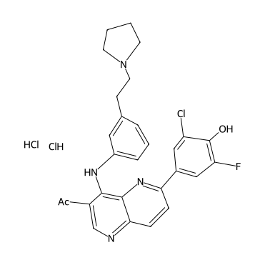 CC(=O)c1cnc2ccc(-c3cc(F)c(O)c(Cl)c3)nc2c1Nc1cccc(CCN2CCCC2)c1.Cl.Cl